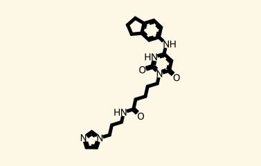 O=C(CCCCn1c(=O)cc(Nc2ccc3c(c2)CCC3)[nH]c1=O)NCCCn1ccnc1